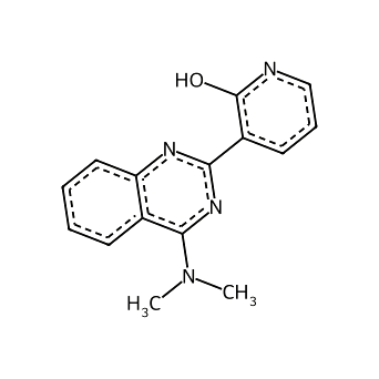 CN(C)c1nc(-c2cccnc2O)nc2ccccc12